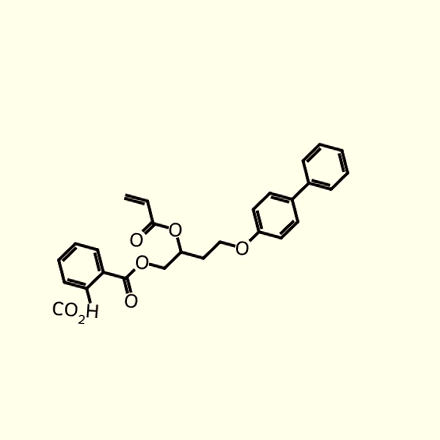 C=CC(=O)OC(CCOc1ccc(-c2ccccc2)cc1)COC(=O)c1ccccc1C(=O)O